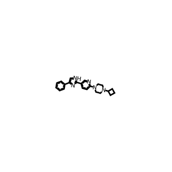 c1ccc(-c2c[nH]c(-c3ccc(N4CCN(C5CCC5)CC4)nc3)n2)cc1